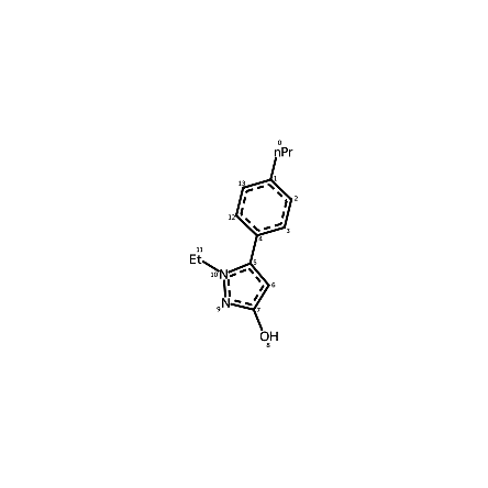 CCCc1ccc(-c2cc(O)nn2CC)cc1